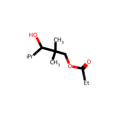 CCC(=O)OCC(C)(C)C(O)C(C)C